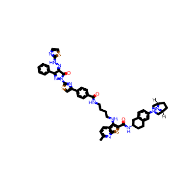 Cc1ccc2c(NCCCCNC(=O)c3ccc(-c4csc(N5N=C(c6ccccc6)/C(=N\Nc6nccs6)C5=O)n4)cc3)c(C(=O)N[C@H]3CCc4cc(N5C[C@H]6CC[C@@H](C5)N6)ccc4C3)sc2n1